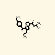 CCCc1cc2n(c1C(=O)c1ccc(CC)cc1)CCC2C(=O)OC(C)C